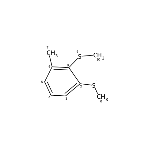 CSc1cccc(C)c1SC